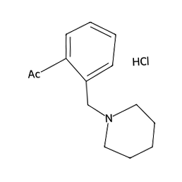 CC(=O)c1ccccc1CN1CCCCC1.Cl